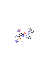 Cc1csc([C@H]2CCCN2C(=O)c2cc(C(=O)N[C@@H](Cc3ccccc3)[C@H](O)CNCc3cccc(C(F)(F)F)c3)cc(-c3ncco3)c2)n1